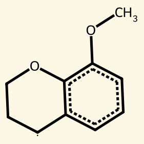 COc1cccc2c1OCC[CH]2